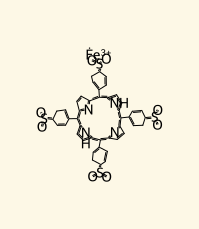 O=S(=O)=C1C=CC(c2c3nc(c(C4=CCC(=S(=O)=O)C=C4)c4ccc([nH]4)c(C4=CCC(=S(=O)=O)C=C4)c4nc(c(C5=CCC(=S(=O)=O)C=C5)c5ccc2[nH]5)C=C4)C=C3)=CC1.[Fe+3]